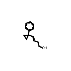 OCCC=CC1(c2ccccc2)CC1